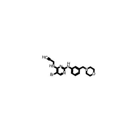 C#CCNc1nc(Nc2cccc(CN3CCOCC3)c2)ncc1Br